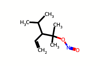 C=CC(C(C)C)C(C)(C)ON=O